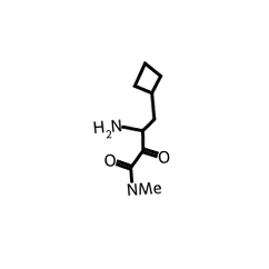 CNC(=O)C(=O)C(N)CC1CCC1